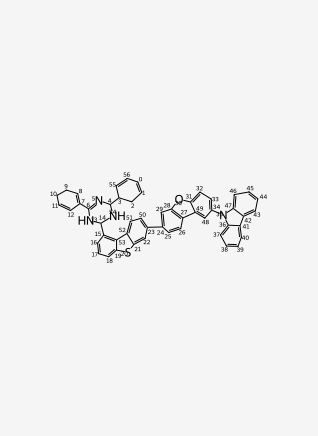 C1=CCC(C2N=C(C3=CCCC=C3)NC(c3cccc4sc5cc(-c6ccc7c(c6)oc6ccc(-n8c9ccccc9c9ccccc98)cc67)ccc5c34)N2)C=C1